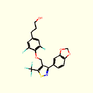 OCCCc1cc(F)c(OCc2c(-c3ccc4c(c3)OCO4)nsc2C(F)(F)F)c(F)c1